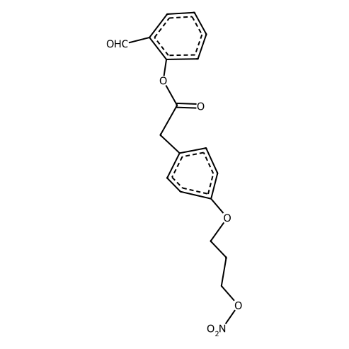 O=Cc1ccccc1OC(=O)Cc1ccc(OCCCO[N+](=O)[O-])cc1